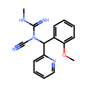 CNC(=N)N(C#N)C(c1ccccn1)c1ccccc1OC